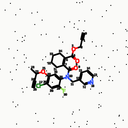 C#CCOC(=O)C1=C(C(=O)N(Cc2cccnc2)c2cc(OC(C)C#C)c(Cl)cc2F)CCCC1